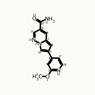 COc1cc(-c2cc3cc(C(N)=O)cnn3c2)ccn1